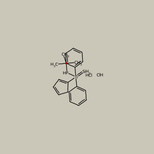 CC(C)(C)[PH][Ti](=[SiH2])([C]1=CC=CC1)([c]1ccccc1)[c]1ccccc1.Cl.Cl